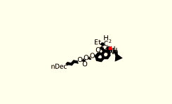 C=C(CC)[C@@H]1OC2=C(OCOC(=O)OCCCCCCCCCCCCCC)C=CC3CC4N(CC5CC5)CC[C@@]1(C23)[C@]4(C)O